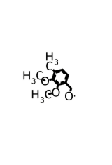 COc1c(C)ccc(C[O])c1OC